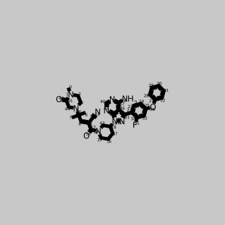 CN1CCN(C(C)(C)C=C(C#N)C(=O)N2CCCC(n3nc(-c4ccc(Oc5ccccc5)cc4F)c4c(N)ncnc43)C2)CC1=O